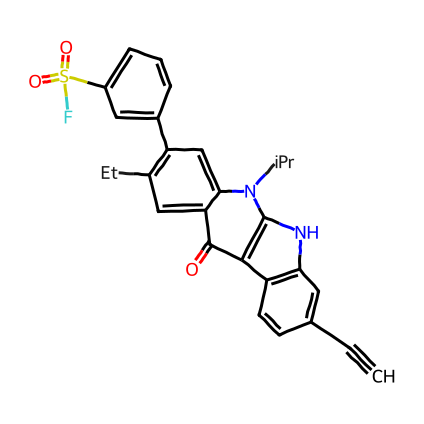 C#Cc1ccc2c(c1)[nH]c1c2c(=O)c2cc(CC)c(-c3cccc(S(=O)(=O)F)c3)cc2n1C(C)C